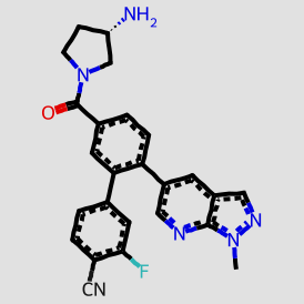 Cn1ncc2cc(-c3ccc(C(=O)N4CC[C@H](N)C4)cc3-c3ccc(C#N)c(F)c3)cnc21